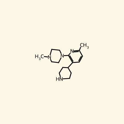 Cc1ccc(C2CCNCC2)c(N2CCN(C)CC2)n1